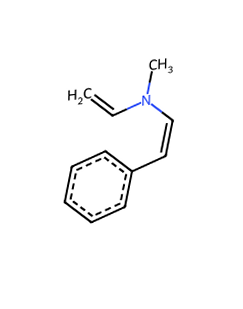 C=CN(C)/C=C\c1ccccc1